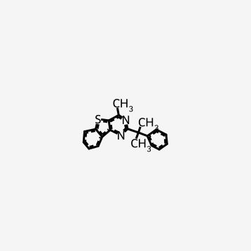 Cc1nc(C(C)(C)c2ccccc2)nc2c1sc1ccccc12